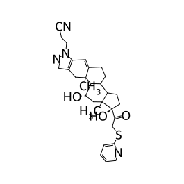 CC12Cc3cnn(CCC#N)c3C=C1CCC1C2[C@@H](O)CC2(C)C1CC[C@]2(O)C(=O)CSc1ccccn1